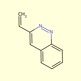 C=Cc1cc2ccccc2nn1